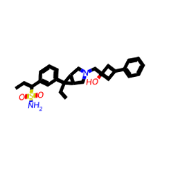 CCC(c1cccc(C2(CC)C3CN(CC4(O)CC(c5ccccc5)C4)CC32)c1)S(N)(=O)=O